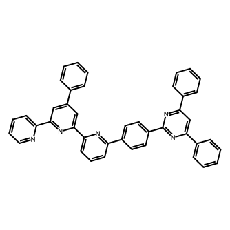 c1ccc(-c2cc(-c3ccccn3)nc(-c3cccc(-c4ccc(-c5nc(-c6ccccc6)cc(-c6ccccc6)n5)cc4)n3)c2)cc1